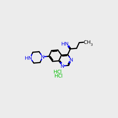 CCCC(=N)c1ncnc2cc(N3CCNCC3)ccc12.Cl.Cl